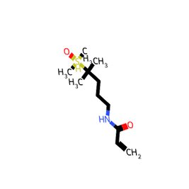 C=CC(=O)NCCCC(C)(C)[SH](C)(C)=O